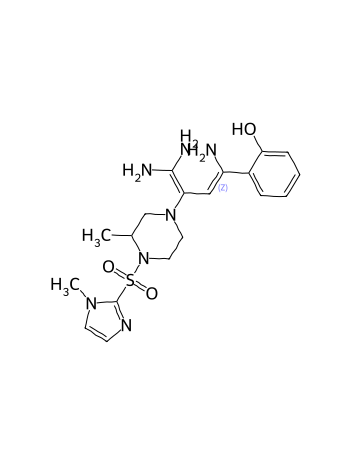 CC1CN(C(/C=C(\N)c2ccccc2O)=C(N)N)CCN1S(=O)(=O)c1nccn1C